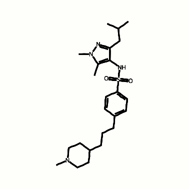 Cc1c(NS(=O)(=O)c2ccc(CCCC3CCN(C)CC3)cc2)c(CC(C)C)nn1C